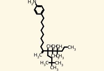 C=C(CCCCCCCCc1ccc(N)cc1)C(C)(CCC(C)(C)C)C(C)(C)C(C)(C)CCC